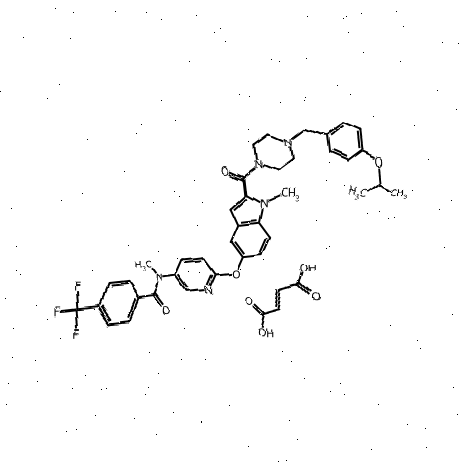 CC(C)Oc1ccc(CN2CCN(C(=O)c3cc4cc(Oc5ccc(N(C)C(=O)c6ccc(C(F)(F)F)cc6)cn5)ccc4n3C)CC2)cc1.O=C(O)C=CC(=O)O